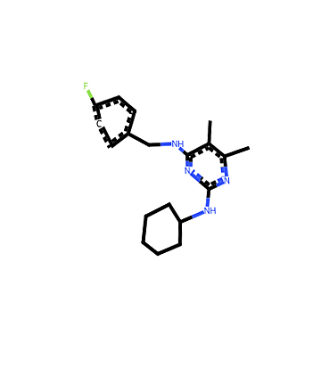 Cc1nc(NC2CCCCC2)nc(NCc2ccc(F)cc2)c1C